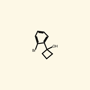 OC1(c2ccccc2Br)CCC1